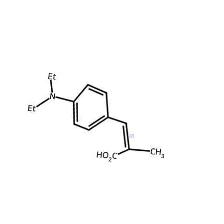 CCN(CC)c1ccc(/C=C(/C)C(=O)O)cc1